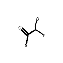 O=C([S])C(F)Cl